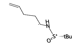 C=CCC[CH]N[S@@+]([O-])C(C)(C)C